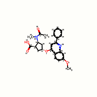 COc1ccc2c(O[C@@H]3C[C@@H](C(=O)O)[C@@H](N(C)C(C)=O)C3)cc(-c3ccccc3)nc2c1